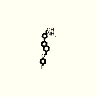 N[C@]1(CO)CC[C@H](c2ccc3c(c2)CCC(COc2ccc(F)cc2)C3)C1